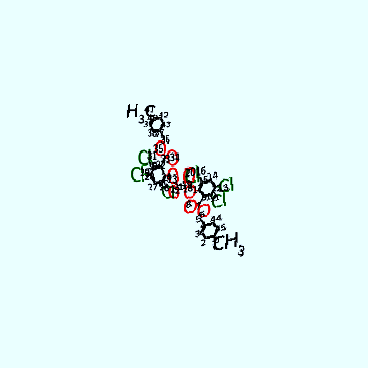 Cc1ccc(COC(=O)c2c(Cl)c(Cl)cc(Cl)c2OC(=O)C(=O)Oc2c(Cl)cc(Cl)c(Cl)c2C(=O)OCc2ccc(C)cc2)cc1